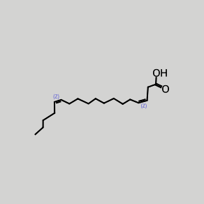 CCCC/C=C\CCCCCCCC/C=C\CC(=O)O